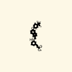 COC(=O)C=CC1CCCC(NCc2ccc3cc(OC4CCC(C(C)(C)C)CC4)ccc3c2)C1